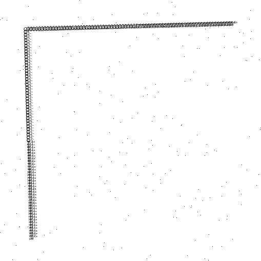 [O-2].[O-2].[O-2].[O-2].[O-2].[O-2].[O-2].[O-2].[O-2].[O-2].[O-2].[O-2].[O-2].[O-2].[O-2].[O-2].[O-2].[O-2].[O-2].[O-2].[O-2].[O-2].[O-2].[O-2].[O-2].[O-2].[O-2].[O-2].[O-2].[O-2].[O-2].[O-2].[O-2].[O-2].[O-2].[O-2].[O-2].[O-2].[O-2].[O-2].[O-2].[O-2].[O-2].[O-2].[O-2].[O-2].[O-2].[O-2].[O-2].[O-2].[O-2].[O-2].[O-2].[O-2].[O-2].[O-2].[O-2].[O-2].[O-2].[O-2].[O-2].[O-2].[O-2].[O-2].[O-2].[O-2].[O-2].[O-2].[O-2].[O-2].[O-2].[O-2].[O-2].[O-2].[O-2].[O-2].[O-2].[O-2].[O-2].[O-2].[Ti+4].[Ti+4].[Ti+4].[Ti+4].[Ti+4].[Ti+4].[Ti+4].[Ti+4].[Ti+4].[Ti+4].[Ti+4].[Ti+4].[Ti+4].[Ti+4].[Ti+4].[Ti+4].[Ti+4].[Ti+4].[Ti+4].[Ti+4].[Ti+4].[Ti+4].[Ti+4].[Ti+4].[Ti+4].[Ti+4].[Ti+4].[Ti+4].[Ti+4].[Ti+4].[Ti+4].[Ti+4].[Ti+4].[Ti+4].[Ti+4].[Ti+4].[Ti+4].[Ti+4].[Ti+4].[Ti+4].[Ti+4].[Ti+4].[Ti+4].[Ti+4].[Ti+4].[Ti+4].[Ti+4].[Ti+4].[Ti+4].[Ti+4].[Ti+4].[Ti+4].[Ti+4].[Ti+4].[Ti+4].[Ti+4].[Ti+4].[Ti+4].[Ti+4].[Ti+4].[Ti+4].[Ti+4].[Ti+4].[Ti+4].[Ti+4].[Ti+4].[Ti+4].[Ti+4].[Ti+4].[Ti+4]